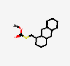 CC(C)(C)OC(=O)SCC1CCCC2CC3CCCCC3CC12